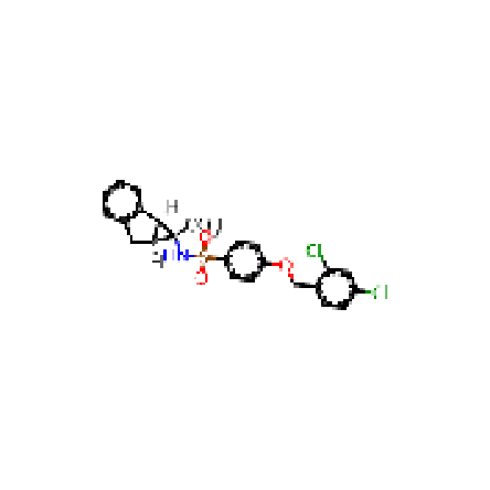 O=C(O)[C@]1(NS(=O)(=O)c2ccc(OCc3ccc(Cl)cc3Cl)cc2)[C@@H]2c3ccccc3C[C@@H]21